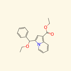 CCOC(=O)c1cc(C(OCC)c2ccccc2)n2ccccc12